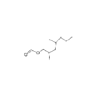 CCCC(C)CC(C)COC=O